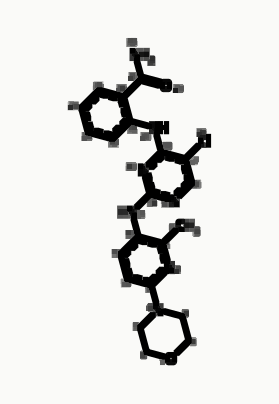 Cc1nc(N2CCOCC2)ccc1Nc1ncc(Cl)c(Nc2ccccc2C(N)=O)n1